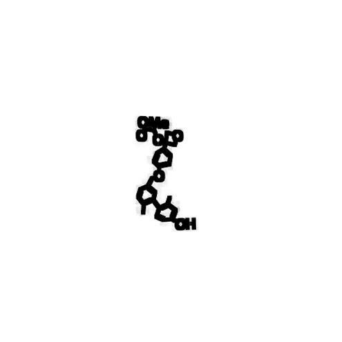 COC(=O)COC1(c2ccc(OCc3ccc(C)c(-c4ccc(O)cc4C)c3)cc2)COC1